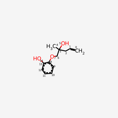 C=CCC(C)(O)COc1ccccc1O